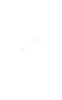 CCCC[C@H](NC(=O)[C@H](Cc1ccccc1)NC(=O)OCC1c2ccccc2-c2ccccc21)C(=O)O